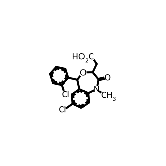 CN1C(=O)C(CC(=O)O)OC(c2ccccc2Cl)c2cc(Cl)ccc21